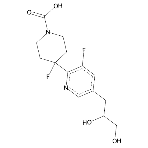 O=C(O)N1CCC(F)(c2ncc(CC(O)CO)cc2F)CC1